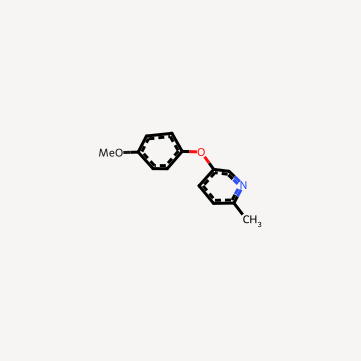 COc1ccc(Oc2ccc(C)nc2)cc1